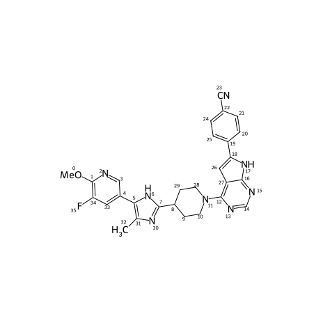 COc1ncc(-c2[nH]c(C3CCN(c4ncnc5[nH]c(-c6ccc(C#N)cc6)cc45)CC3)nc2C)cc1F